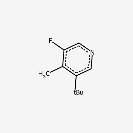 Cc1c(F)cncc1C(C)(C)C